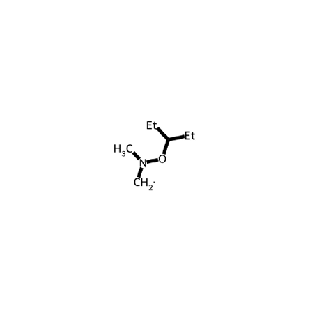 [CH2]N(C)OC(CC)CC